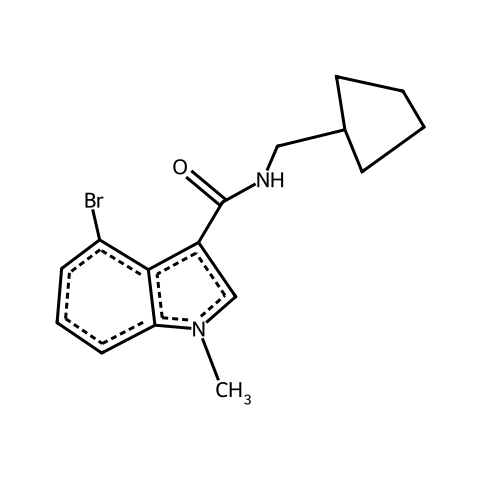 Cn1cc(C(=O)NCC2CCCC2)c2c(Br)cccc21